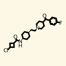 O=C(N[C@H]1CC[C@H](CCN2CCC(C(=O)c3ccc(F)cc3)CC2)CC1)C1CC(Cl)C1